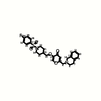 O=c1cc(CN2CCc3ccccc3C2)occ1OCC1CCN(S(=O)(=O)c2ccc(F)cc2)CC1